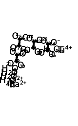 O.O.O.O.O=C([O-])C(=O)[O-].O=C([O-])C(=O)[O-].O=C([O-])C(=O)[O-].O=C([O-])C(=O)[O-].[Ba+2].[OH4+2].[Ti+4]